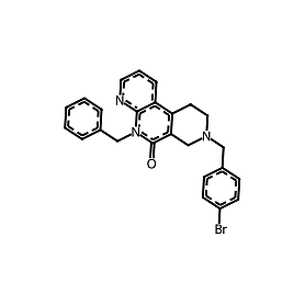 O=c1c2c(c3cccnc3n1Cc1ccccc1)CCN(Cc1ccc(Br)cc1)C2